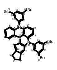 CC(C)(C)c1cc(N2c3ccccc3B3c4cc5c(cc4N(c4cc(C(C)(C)C)cc(C(C)(C)C)c4)c4cccc2c43)CCC5)cc(C(C)(C)C)c1